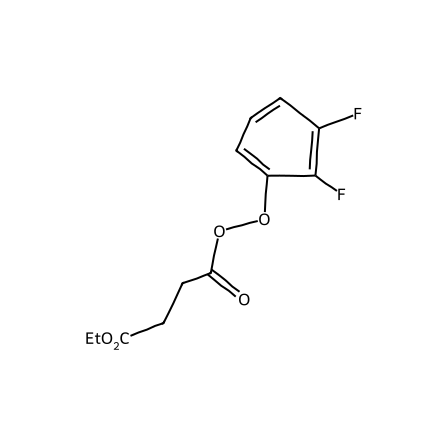 CCOC(=O)CCC(=O)OOc1cccc(F)c1F